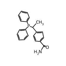 CC(c1ccc(C(N)=O)cc1)P(c1ccccc1)c1ccccc1